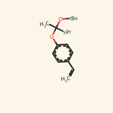 C=Cc1ccc(OC(C)(CCC)OC(C)(C)C)cc1